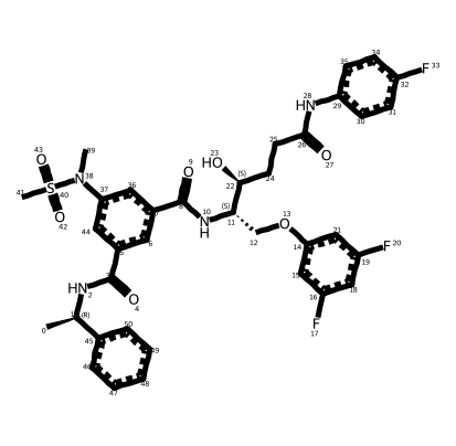 C[C@@H](NC(=O)c1cc(C(=O)N[C@@H](COc2cc(F)cc(F)c2)[C@@H](O)CCC(=O)Nc2ccc(F)cc2)cc(N(C)S(C)(=O)=O)c1)c1ccccc1